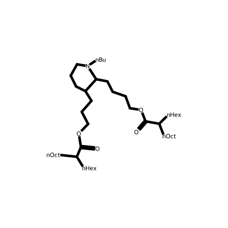 CCCCCCCCC(CCCCCC)C(=O)OCCCCC1C(CCCOC(=O)C(CCCCCC)CCCCCCCC)CCCN1CCCC